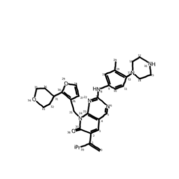 C=C(c1cc2cnc(Nc3ccc(N4CCNCC4)c(C)c3)nc2n(Cc2ccoc2C2CCOCC2)c1=O)C(C)C